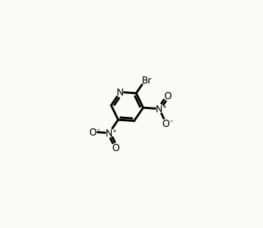 O=[N+]([O-])c1cnc(Br)c([N+](=O)[O-])c1